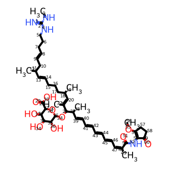 CNC(=N)NCCCC=CCC(C)C=CCCCC(C)C=C(C)C(OC1OC(C(=O)O)C(O)C(O)C1O)C(C)C=CC=CC=CC=CC=C(C)C(=O)NC1=C(OC)CCC1=O